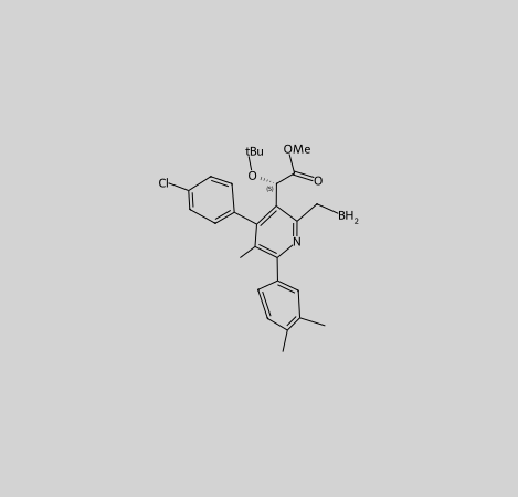 BCc1nc(-c2ccc(C)c(C)c2)c(C)c(-c2ccc(Cl)cc2)c1[C@H](OC(C)(C)C)C(=O)OC